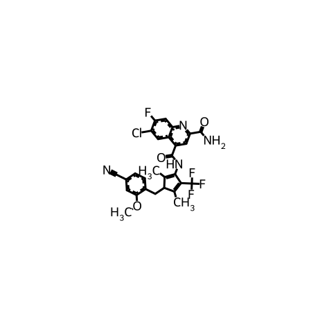 COc1cc(C#N)ccc1CC1C(C)=C(NC(=O)c2cc(C(N)=O)nc3cc(F)c(Cl)cc23)C(C(F)(F)F)=C1C